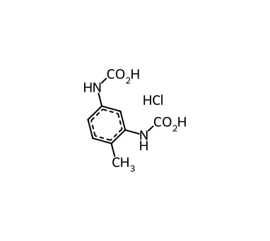 Cc1ccc(NC(=O)O)cc1NC(=O)O.Cl